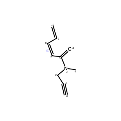 C#CCN(C)C(=O)/C=C\C=C